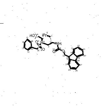 CC(C)C[C@@H](CN(CC(=O)O)S(=O)(=O)Cc1ccccc1)NC(=O)OCC1c2ccccc2-c2ccccc21